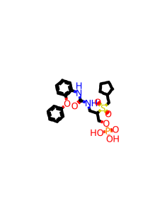 O=C(NCC(COP(=O)(O)O)S(=O)(=O)CC1CCCC1)Nc1ccccc1Oc1ccccc1